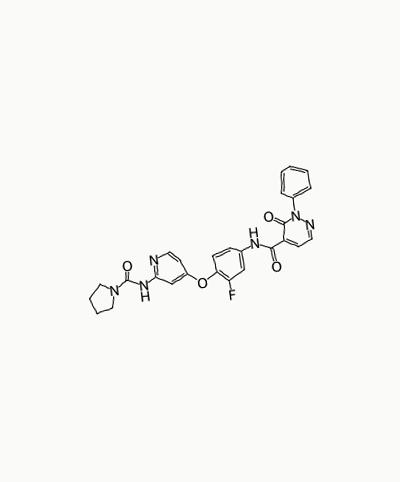 O=C(Nc1ccc(Oc2ccnc(NC(=O)N3CCCC3)c2)c(F)c1)c1ccnn(-c2ccccc2)c1=O